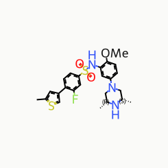 COc1ccc(N2C[C@@H](C)N[C@@H](C)C2)cc1NS(=O)(=O)c1ccc(-c2csc(C)c2)c(F)c1